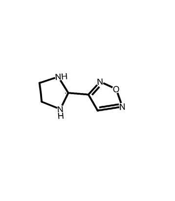 c1nonc1[C]1NCCN1